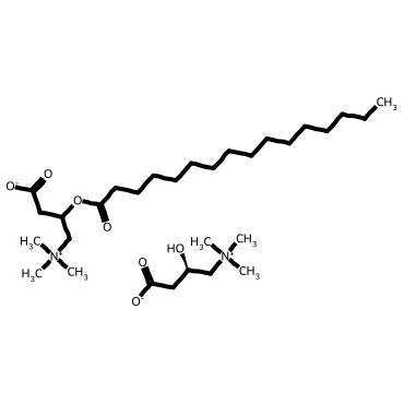 CCCCCCCCCCCCCCCC(=O)OC(CC(=O)[O-])C[N+](C)(C)C.C[N+](C)(C)C[C@H](O)CC(=O)[O-]